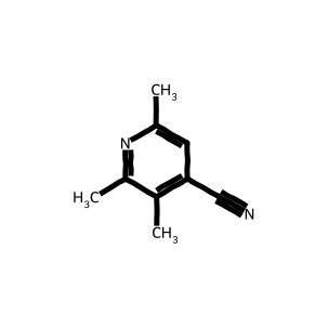 Cc1cc(C#N)c(C)c(C)n1